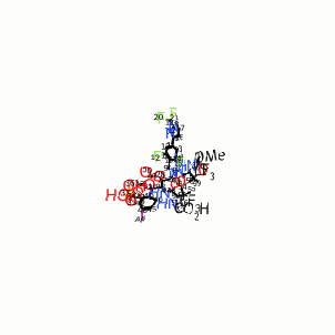 COC(=O)NC(C(=O)NN(Cc1c(F)cc(-c2ccn(C(F)F)n2)cc1F)CC(OC(=O)OCOP(=O)(O)O)C(Cc1ccc(I)cc1)NC(=O)C(NC(=O)O)C(C)(C)C(F)(F)F)C(C)(C)C(F)(F)F